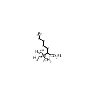 CCOC(=O)C(CCCCBr)[Si](C)(C)C